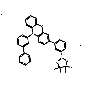 CC1(C)OB(c2cccc(-c3ccc4c(c3)Oc3ccccc3N4c3cccc(-c4ccccc4)c3)c2)OC1(C)C